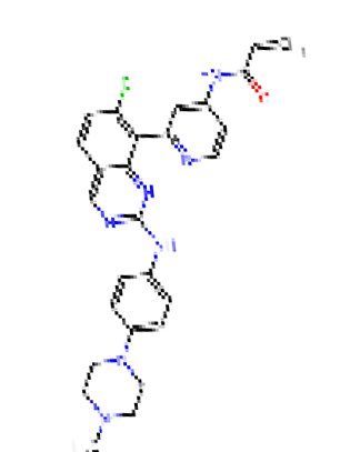 C=CC(=O)Nc1ccnc(-c2c(Cl)ccc3cnc(Nc4ccc(N5CCN(C)CC5)cc4)nc23)c1